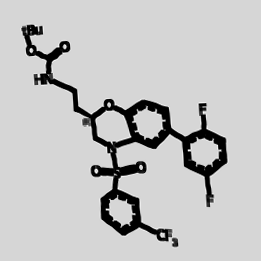 CC(C)(C)OC(=O)NCC[C@@H]1CN(S(=O)(=O)c2cccc(C(F)(F)F)c2)c2cc(-c3cc(F)ccc3F)ccc2O1